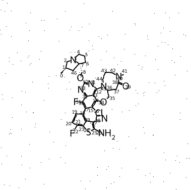 C[C@H]1CN2CCC[C@@]2(COc2nc3c4c(c(Cl)c(-c5ccc(F)c6sc(N)c(C#N)c56)c(F)c4n2)OCC2CC(=O)N(C)CCCN32)C1